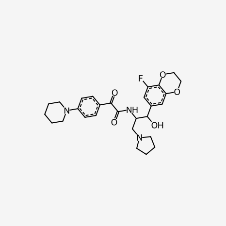 O=C(NC(CN1CCCC1)C(O)c1cc(F)c2c(c1)OCCO2)C(=O)c1ccc(N2CCCCC2)cc1